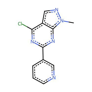 Cn1ncc2c(Cl)nc(-c3cccnc3)nc21